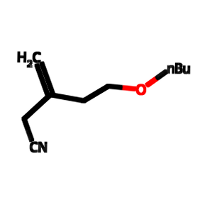 C=C(CC#N)CCOCCCC